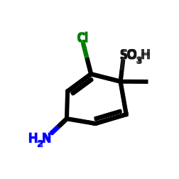 CC1(S(=O)(=O)O)C=CC(N)C=C1Cl